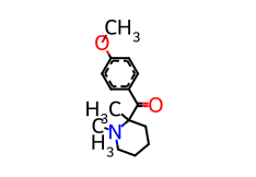 COc1ccc(C(=O)C2(C)CCCCN2C)cc1